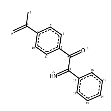 C=C(C)c1ccc(C(=O)C(=N)c2ccccc2)cc1